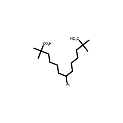 CC(=O)C(CCCCC(C)(C)C(=O)O)CCCCC(C)(C)C(=O)O